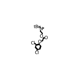 CN(CCOC(=O)COc1ccc(Cl)cc1Cl)C(C)(C)C